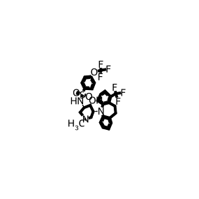 CN1C[C@H](NS(=O)(=O)c2ccc(OC(F)(F)F)cc2)[C@@H](O)[C@H](N2c3ccccc3CCc3c2cccc3C(F)(F)F)C1